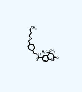 CCCCOCC1CCC(CNC(=O)c2ccc3c(c2)C(C)(C)CC(=O)N3)CC1